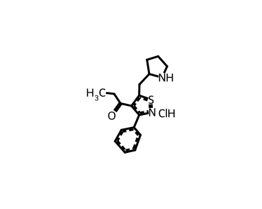 CCC(=O)c1c(-c2ccccc2)nsc1CC1CCCN1.Cl